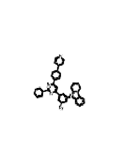 Brc1cc(-c2cc(-c3ccc(-c4ccncc4)cc3)nc(-c3ccccc3)n2)cc(-n2c3ccccc3c3ccccc32)c1